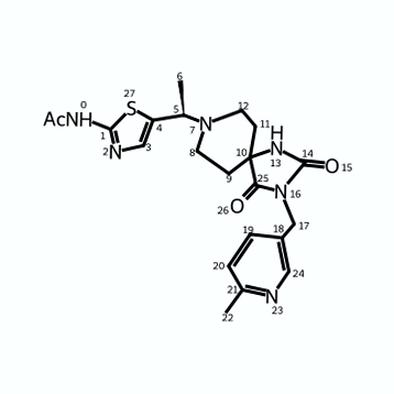 CC(=O)Nc1ncc([C@@H](C)N2CCC3(CC2)NC(=O)N(Cc2ccc(C)nc2)C3=O)s1